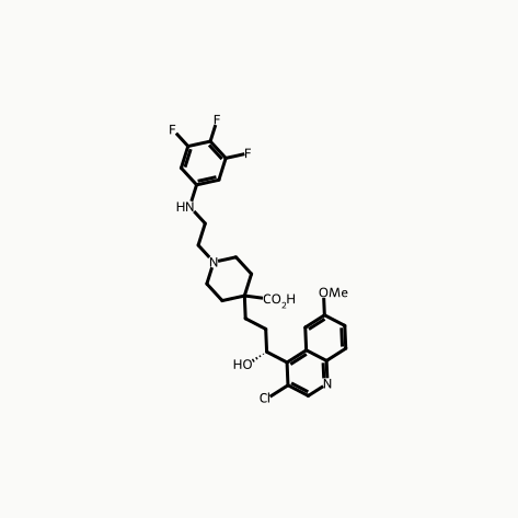 COc1ccc2ncc(Cl)c([C@H](O)CCC3(C(=O)O)CCN(CCNc4cc(F)c(F)c(F)c4)CC3)c2c1